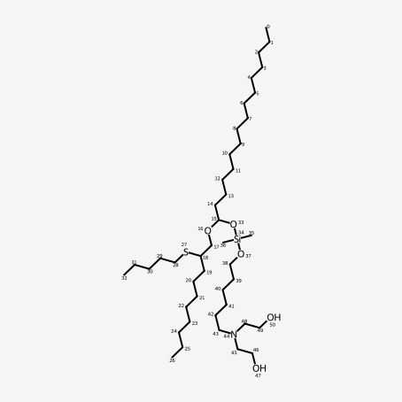 CCCCCCCCCCCCCCCC(OCC(CCCCCCCC)SCCCCC)O[Si](C)(C)OCCCCCCN(CCO)CCO